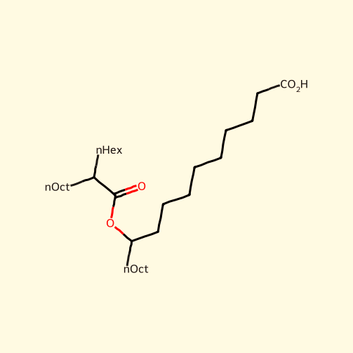 CCCCCCCCC(CCCCCCCCC(=O)O)OC(=O)C(CCCCCC)CCCCCCCC